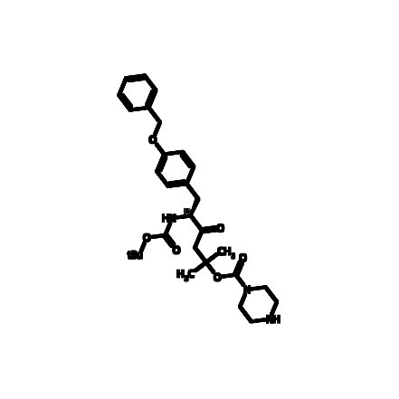 CC(C)(C)OC(=O)N[C@@H](Cc1ccc(OCc2ccccc2)cc1)C(=O)CC(C)(C)OC(=O)N1CCNCC1